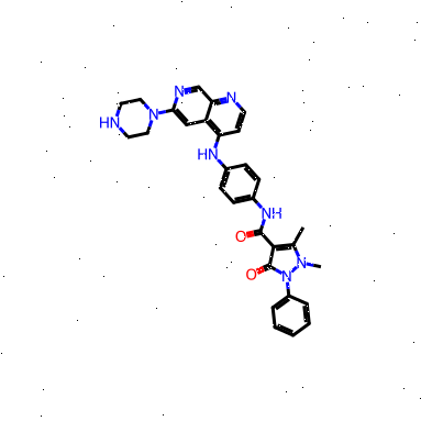 Cc1c(C(=O)Nc2ccc(Nc3ccnc4cnc(N5CCNCC5)cc34)cc2)c(=O)n(-c2ccccc2)n1C